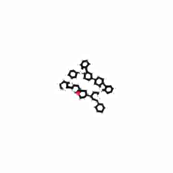 c1ccc(-c2cc(-c3ccccc3)nc(-n3c4ccccc4c4ccc(-c5ccc6c(c5)c5ccccc5n6-c5cccc(-n6c7cccnc7c7ncccc76)c5)cc43)c2)cc1